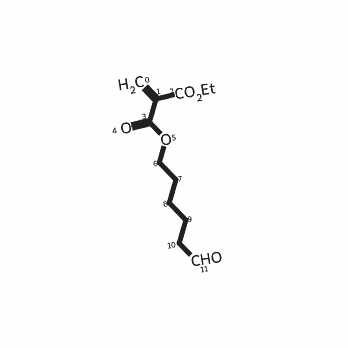 C=C(C(=O)OCC)C(=O)OCCCCCC=O